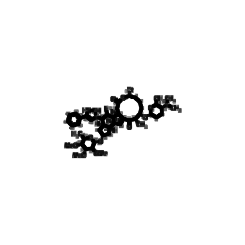 CC[C@H]1CCC[C@H](O[C@H]2CC[C@H](N(C)C)C(C)O2)[C@@H](C)C(=O)C2=C[C@H]3[C@@H]4C[C@H](O[C@@H]5OC(C)[C@H](OC)[C@@H](OC)C5OC)C[C@H]4C(N4C=C(c5ccccc5)NN4)C(F)[C@H]3[C@@H]2CC(=O)O1